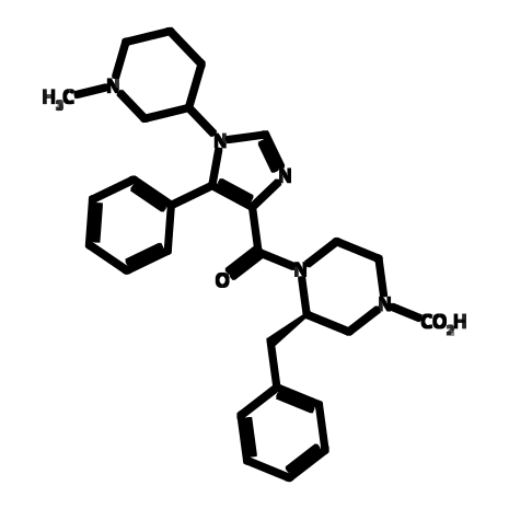 CN1CCCC(n2cnc(C(=O)N3CCN(C(=O)O)C[C@H]3Cc3ccccc3)c2-c2ccccc2)C1